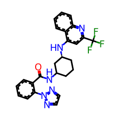 O=C(NC1CCC[C@H](Nc2cc(C(F)(F)F)nc3ccccc23)C1)c1ccccc1-n1nccn1